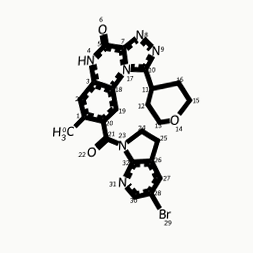 Cc1cc2[nH]c(=O)c3nnc(C4CCOCC4)n3c2cc1C(=O)N1CCc2cc(Br)cnc21